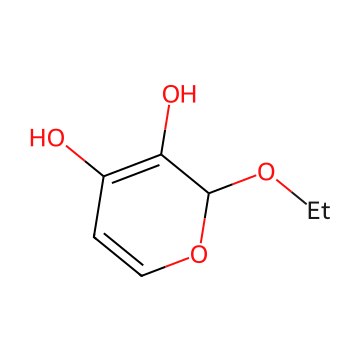 CCOC1OC=CC(O)=C1O